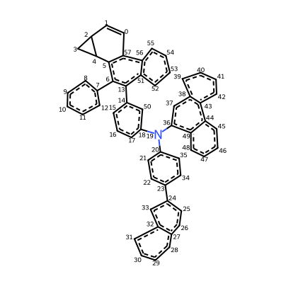 C1=CC2CC2c2c(-c3ccccc3)c(-c3cccc(N(c4ccc(-c5ccc6ccccc6c5)cc4)c4cc5ccccc5c5ccccc45)c3)c3ccccc3c21